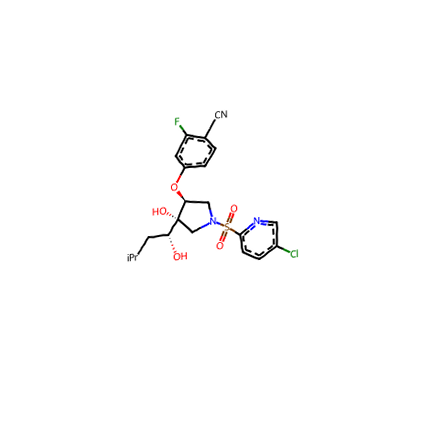 CC(C)C[C@@H](O)[C@]1(O)CN(S(=O)(=O)c2ccc(Cl)cn2)C[C@@H]1Oc1ccc(C#N)c(F)c1